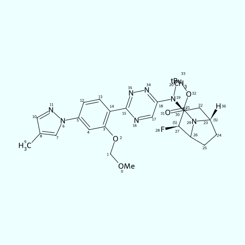 COCOc1cc(-n2cc(C)cn2)ccc1-c1ncc(N(C)[C@H]2C[C@@H]3CCC([C@H]2F)N3C(=O)OC(C)(C)C)nn1